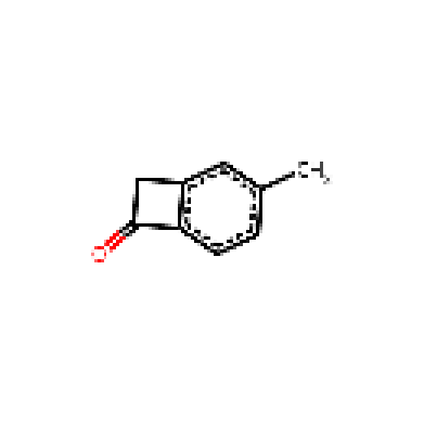 Cc1ccc2c(c1)CC2=O